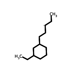 CC[CH]CCC1CCCC(CC)C1